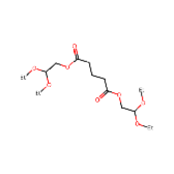 CCOC(COC(=O)CCCC(=O)OCC(OCC)OCC)OCC